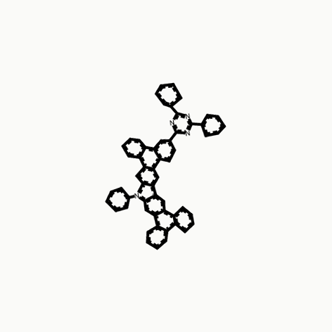 c1ccc(-c2nc(-c3ccccc3)nc(-c3ccc4c(c3)c3ccccc3c3cc5c(cc43)c3cc4c6ccccc6c6ccccc6c4cc3n5-c3ccccc3)n2)cc1